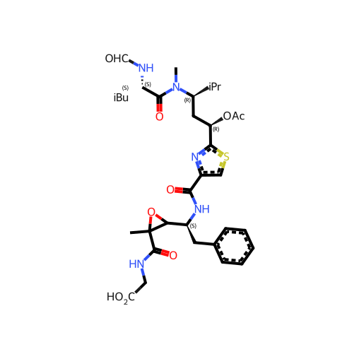 CC[C@H](C)[C@H](NC=O)C(=O)N(C)[C@H](C[C@@H](OC(C)=O)c1nc(C(=O)N[C@@H](Cc2ccccc2)C2OC2(C)C(=O)NCC(=O)O)cs1)C(C)C